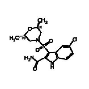 C[C@H]1CN(S(=O)(=O)c2c(C(N)=O)[nH]c3ccc(Cl)cc23)C[C@H](C)O1